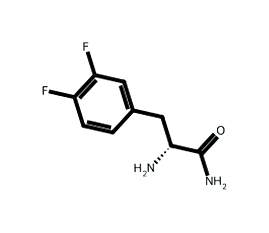 NC(=O)[C@H](N)Cc1ccc(F)c(F)c1